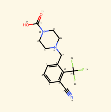 N#Cc1cccc(CN2CCN(C(=O)O)CC2)c1C(F)(F)F